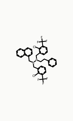 FC(F)(F)c1cccc(CN(CCc2ccccc2)N(Cc2cccc(C(F)(F)F)c2Cl)Cc2cccc3ccccc23)c1Cl